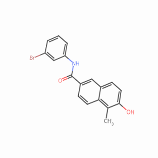 Cc1c(O)ccc2cc(C(=O)Nc3cccc(Br)c3)ccc12